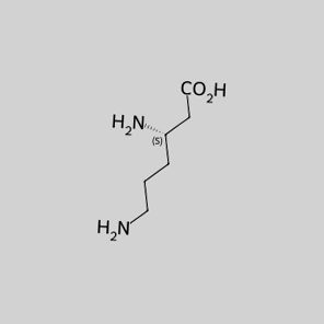 NCCC[C@H](N)CC(=O)O